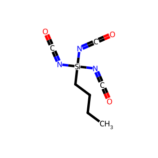 CCCC[Si](N=C=O)(N=C=O)N=C=O